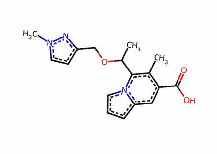 Cc1c(C(=O)O)cc2cccn2c1C(C)OCc1ccn(C)n1